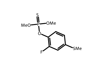 COP(=S)(OC)Oc1ccc(SC)cc1F